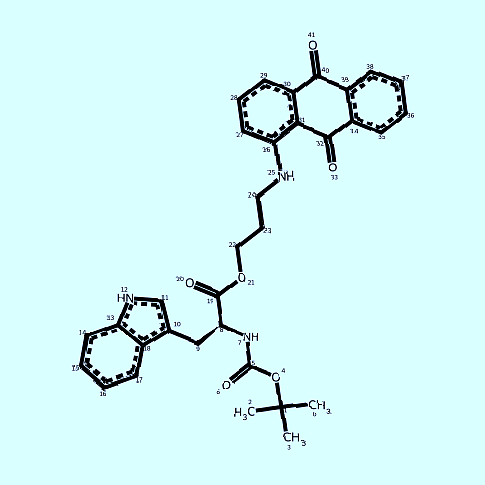 CC(C)(C)OC(=O)N[C@@H](Cc1c[nH]c2ccccc12)C(=O)OCCCNc1cccc2c1C(=O)c1ccccc1C2=O